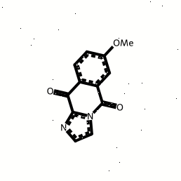 COc1ccc2c(c1)C(=O)n1ccnc1C2=O